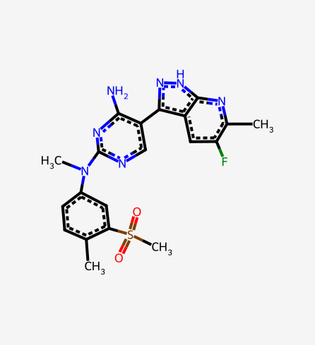 Cc1ccc(N(C)c2ncc(-c3n[nH]c4nc(C)c(F)cc34)c(N)n2)cc1S(C)(=O)=O